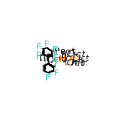 CCCCCCCC[B-](CCCCCCCC)(CCCCCCCC)CCCCCCCC.CCC[PH2+]CC(C)CCC.Fc1ccc(-c2c(F)c(F)c(F)c(F)c2F)c(F)c1F